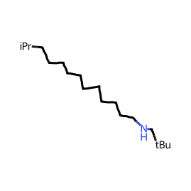 CC(C)CCCCCCCCCCCNCC(C)(C)C